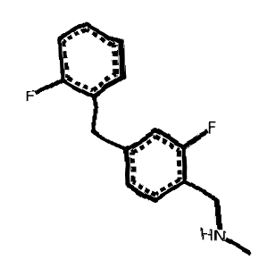 CNCc1ccc(Cc2ccccc2F)cc1F